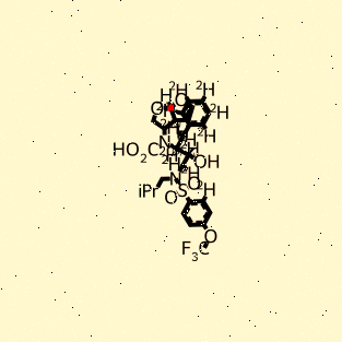 [2H]c1cc(OC(F)(F)F)ccc1S(=O)(=O)N(CC(C)C)C([2H])([2H])[C@@]([2H])(O)[C@@]([2H])(N(C(=O)O)C1CO[C@@H]2OC=C[C@@H]12)C([2H])([2H])c1c([2H])c([2H])c([2H])c([2H])c1[2H]